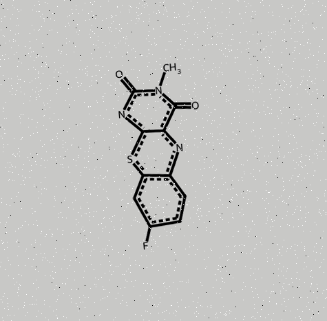 Cn1c(=O)nc2sc3cc(F)ccc3nc-2c1=O